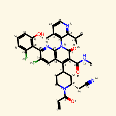 C=CC(=O)N1CCC(c2c(C(=O)NC)c(=O)n(-c3c(C)ccnc3C(C)C)c3nc(-c4c(O)cccc4F)c(F)cc23)C[C@@H]1CC#N